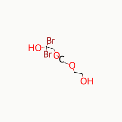 OCCOCCOCC(O)(Br)Br